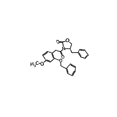 COc1ccc(CC(=O)N2C(=O)OC[C@H]2Cc2ccccc2)c(OCc2ccccc2)c1